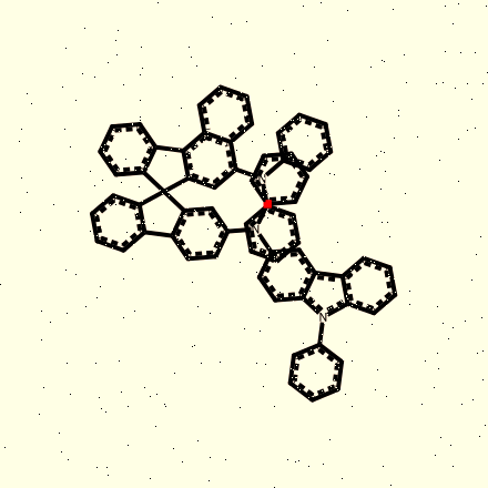 c1ccc(N(c2ccc3c(c2)C2(c4ccccc4-3)c3ccccc3-c3c2cc(N(c2ccccc2)c2ccccc2)c2ccccc32)c2ccc3c(c2)c2ccccc2n3-c2ccccc2)cc1